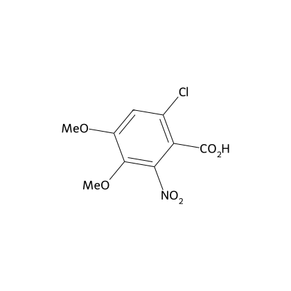 COc1cc(Cl)c(C(=O)O)c([N+](=O)[O-])c1OC